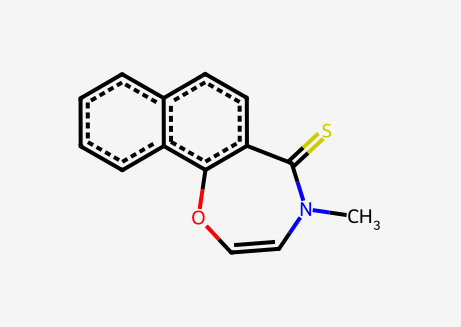 CN1C=COc2c(ccc3ccccc23)C1=S